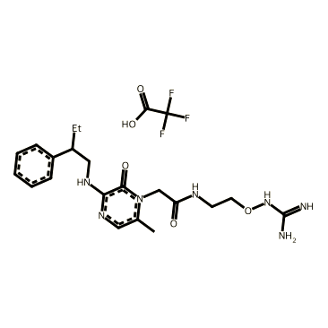 CCC(CNc1ncc(C)n(CC(=O)NCCONC(=N)N)c1=O)c1ccccc1.O=C(O)C(F)(F)F